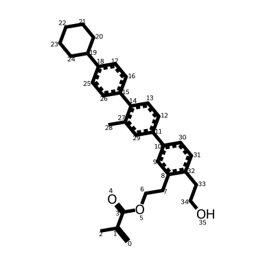 C=C(C)C(=O)OCCc1cc(-c2ccc(-c3ccc(C4CCCCC4)cc3)c(C)c2)ccc1CCO